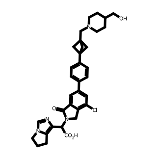 O=C(O)C(c1ncn2c1CCC2)N1Cc2c(Cl)cc(-c3ccc(C45CC(CN6CCC(CO)CC6)(C4)C5)cc3)cc2C1=O